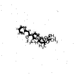 [2H]C([2H])(CC(C)(C)O[Si](C)(C)C)n1ncc(C(=O)Cc2ncccn2)c1C(F)(F)F